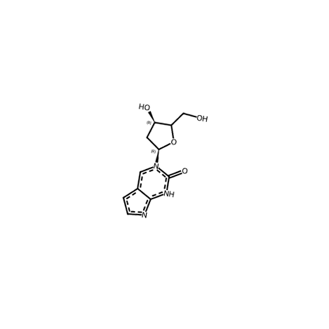 O=c1[nH]c2nccc-2cn1[C@H]1C[C@@H](O)C(CO)O1